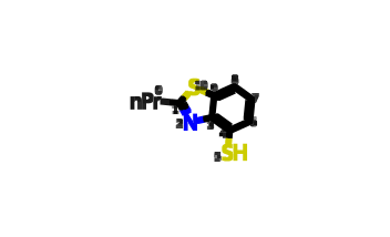 CCCc1nc2c(S)cccc2s1